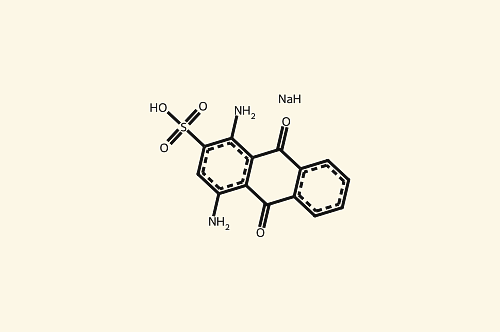 Nc1cc(S(=O)(=O)O)c(N)c2c1C(=O)c1ccccc1C2=O.[NaH]